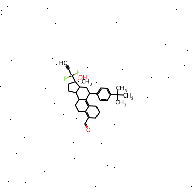 C#CC(F)(F)[C@]1(O)CCC2C3CCC4=C(C=O)CCCC4=C3C(c3ccc(C(C)(C)C)cc3)C[C@@]21C